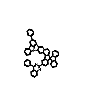 c1ccc(-c2cc3c4ccccc4n4c5cc6c7c(ccc6cc5c(c2)c34)C2(c3ccccc3-c3ccccc32)c2ccc(-c3nc(-c4ccccc4)c4ccccc4n3)cc2-7)cc1